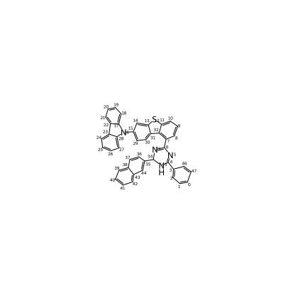 c1ccc(C2=NC(c3cccc4sc5cc(-n6c7ccccc7c7ccccc76)ccc5c34)=NC(c3ccc4ccccc4c3)N2)cc1